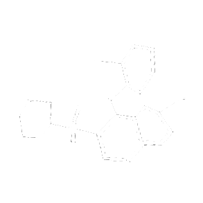 O=C(O)c1ccccc1Nc1c(S(=O)(=O)C2CNCCO2)cnc2ccc(Br)cc12